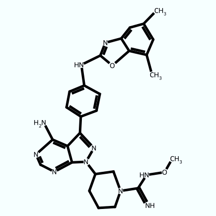 CONC(=N)N1CCCC(n2nc(-c3ccc(Nc4nc5cc(C)cc(C)c5o4)cc3)c3c(N)ncnc32)C1